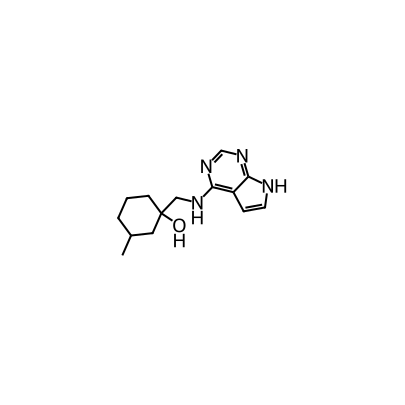 CC1CCCC(O)(CNc2ncnc3[nH]ccc23)C1